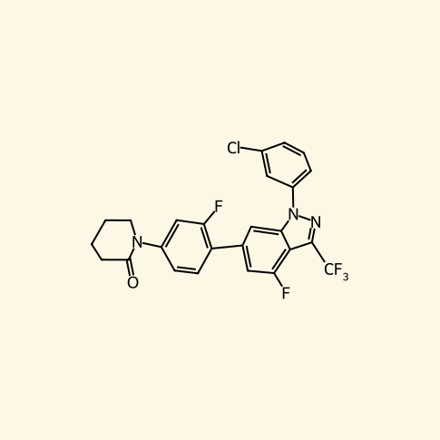 O=C1CCCCN1c1ccc(-c2cc(F)c3c(C(F)(F)F)nn(-c4cccc(Cl)c4)c3c2)c(F)c1